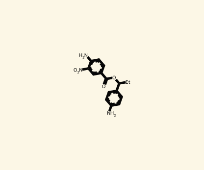 CCC(OC(=O)c1ccc(N)c([N+](=O)[O-])c1)c1ccc(N)cc1